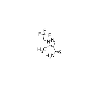 Cc1c(C(N)=S)cnn1CC(F)(F)F